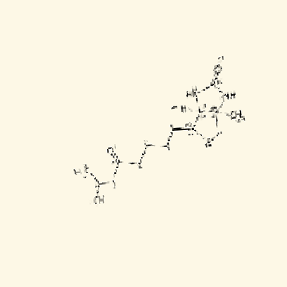 CC(C)CC(=O)CCCC[C@@H]1SC[C@]2(C)NC(=O)N[C@H]12